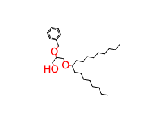 CCCCCCCCCC(CCCCCCCC)OCC(CO)OCc1ccccc1